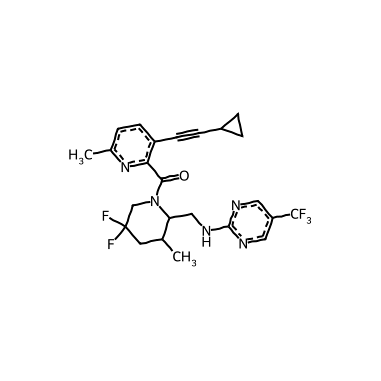 Cc1ccc(C#CC2CC2)c(C(=O)N2CC(F)(F)CC(C)C2CNc2ncc(C(F)(F)F)cn2)n1